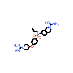 C=CCN(c1ccc2c(c1)CN(C(=N)N)CC2)S(=O)(=O)c1ccc(OC2CCN(C(=N)N)CC2)cc1